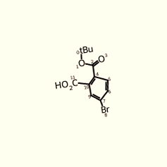 CC(C)(C)OC(=O)c1ccc(Br)cc1C(=O)O